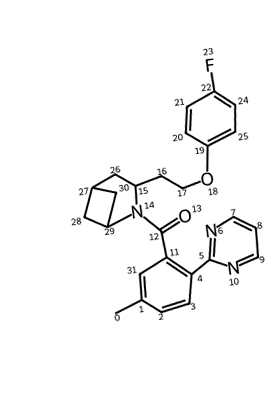 Cc1ccc(-c2ncccn2)c(C(=O)N2C(CCOc3ccc(F)cc3)CC3CC2C3)c1